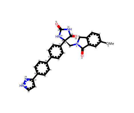 COc1ccc2c(c1)C(=O)N(C[C@@]1(c3ccc(-c4ccc(-c5cc[nH]n5)cc4)cc3)NC(=O)NC1=O)C2